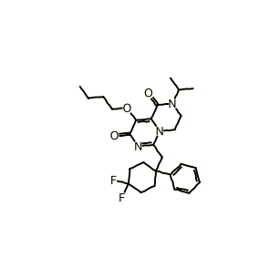 CCCCOc1c2n(c(CC3(c4ccccc4)CCC(F)(F)CC3)nc1=O)CCN(C(C)C)C2=O